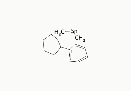 [CH3][Sn][CH3].c1ccc(C2CCCCC2)cc1